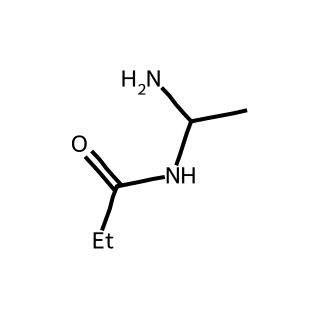 CCC(=O)NC(C)N